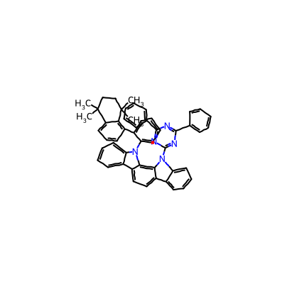 CC1(C)CCC(C)(C)c2c(-c3ccccc3-n3c4ccccc4c4ccc5c6ccccc6n(-c6nc(-c7ccccc7)nc(-c7ccccc7)n6)c5c43)cccc21